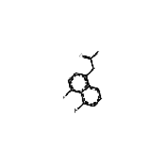 CC(=O)Cc1ccc(F)c2c(F)cccc12